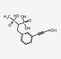 CCCCCCCCC#Cc1ccc[n+](CC(P(C)(=O)O)P(=O)(O)O)c1